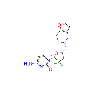 Nc1ccn([C@@H]2OC(CN3CCc4occc4C3)CC2(F)F)c(=O)n1